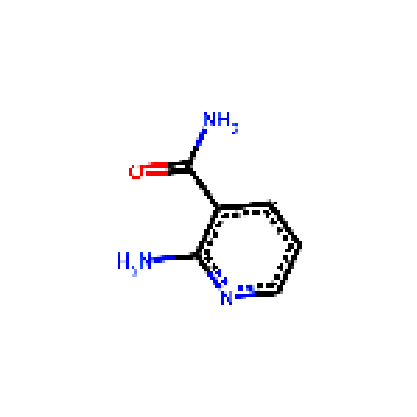 NC(=O)c1[c]ccnc1N